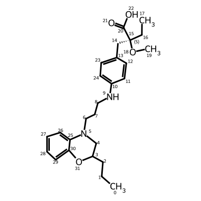 CCCC1CN(CCCNc2ccc(C[C@](CC)(OC)C(=O)O)cc2)c2ccccc2O1